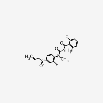 C=CC[S+]([O-])c1ccc(N(C)C(=O)NC(=O)c2c(F)cccc2F)c(F)c1